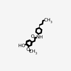 CCCC[C@H]1CC[C@@H](NC(=O)Cc2ccc(O)c(OC)c2)CC1